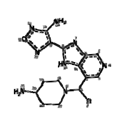 CCC(c1cncc2nc(-c3nonc3N)[nH]c12)N1CCC(N)CC1